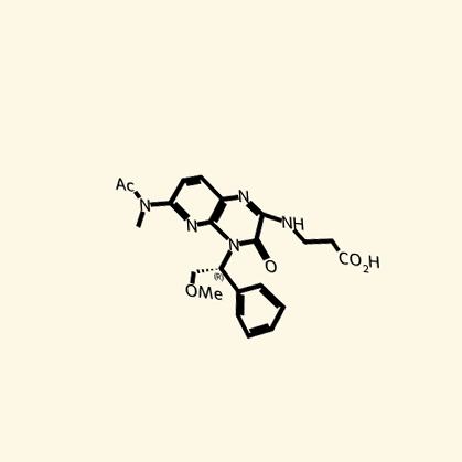 COC[C@@H](c1ccccc1)n1c(=O)c(NCCC(=O)O)nc2ccc(N(C)C(C)=O)nc21